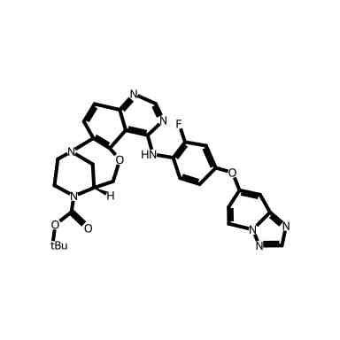 CC(C)(C)OC(=O)N1CCN2C[C@@H]1COc1c2ccc2ncnc(Nc3ccc(Oc4ccn5ncnc5c4)cc3F)c12